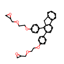 c1ccc2c(c1)Cc1c-2ccc(-c2ccc(OCCOCC3CO3)cc2)c1-c1ccc(OCCOCC2CO2)cc1